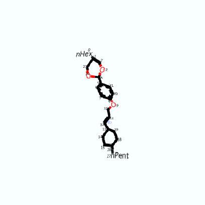 CCCCCCC1COC(c2ccc(OC/C=C/C3CCC(CCCCC)CC3)cc2)OC1